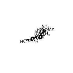 C#CCOc1ccc(C(=O)Nc2cc(F)c(F)c([C@H](C)[C@H](C)[C@@](C)(COC)SC(=N)N)c2)nc1